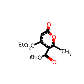 CCOC(=O)c1cc(=O)oc(C)c1C(=O)OCC(C)C